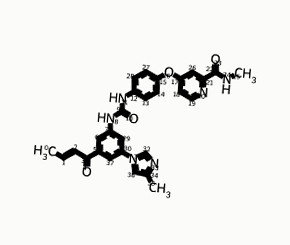 C/C=C/C(=O)c1cc(NC(=O)Nc2ccc(Oc3ccnc(C(=O)NC)c3)cc2)cc(-n2cnc(C)c2)c1